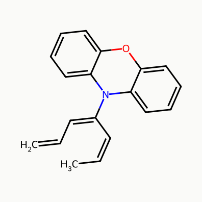 C=C/C=C(\C=C/C)N1c2ccccc2Oc2ccccc21